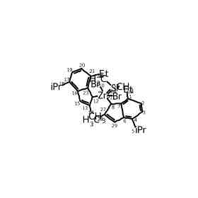 CCc1ccc(C(C)C)c2c1[CH]([Zr]([Br])([Br])([CH]1C(C)=Cc3c(C(C)C)ccc(CC)c31)=[Si](C)C)C(C)=C2